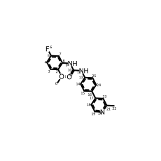 COc1ccc(F)cc1NC(=O)Nc1ccc(-c2ccnc(C)c2)cc1